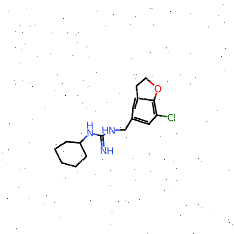 N=C(NCc1cc(Cl)c2c(c1)CCO2)NC1CCCCC1